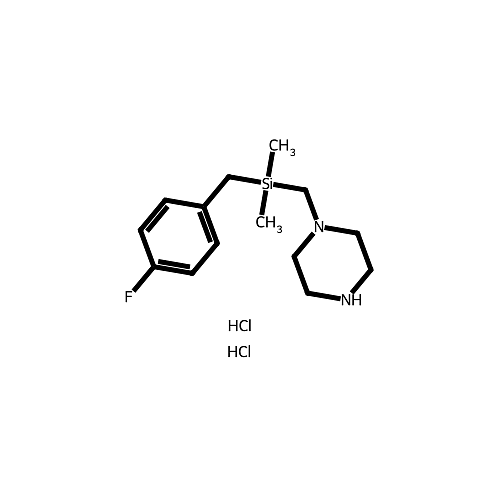 C[Si](C)(Cc1ccc(F)cc1)CN1CCNCC1.Cl.Cl